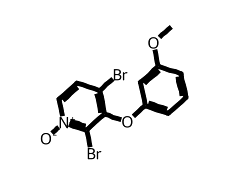 COc1cccc(Oc2c(Br)cc[n+]([O-])c2Br)c1